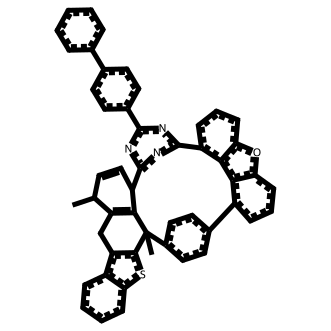 CC1C=CC2C3=C1Cc1c(sc4ccccc14)C3(C)c1ccc(cc1)-c1cccc3oc4cccc(c4c13)-c1nc(-c3ccc(-c4ccccc4)cc3)nc2n1